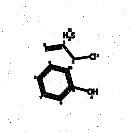 C=CCCl.Oc1ccccc1.S